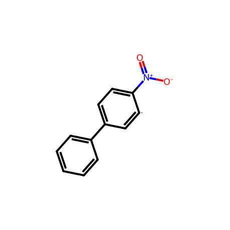 O=[N+]([O-])c1[c]cc(-c2ccccc2)cc1